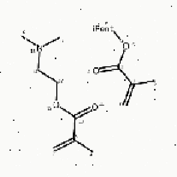 C=C(C)C(=O)OC(C)CCC.C=C(C)C(=O)OCCN(C)C